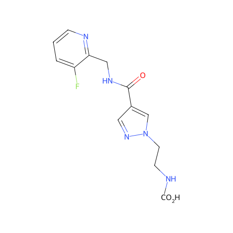 O=C(O)NCCn1cc(C(=O)NCc2ncccc2F)cn1